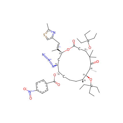 CC[Si](CC)(CC)O[C@H]1[C@@H](C)CCC[C@H](OC(=O)c2ccc([N+](=O)[O-])cc2)[C@@H](N=[N+]=[N-])C[C@@H](/C(C)=C/c2csc(C)n2)OC(=O)C[C@H](O[Si](CC)(CC)CC)C(C)(C)C(=O)[C@@H]1C